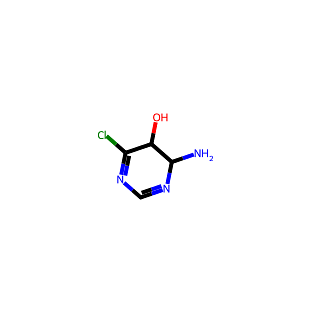 NC1N=CN=C(Cl)C1O